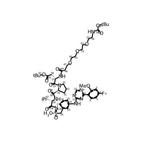 COc1cc(F)ccc1-c1ncnc(Nc2cccc(C[S@@](C)(=O)=NC(=O)[C@@H](NC(=O)[C@@H]3CCCN3C(=O)[C@H](CC(=O)OC(C)(C)C)NC(=O)CCOCCOCCOCCNC(=O)OC(C)(C)C)C(C)C)c2)n1